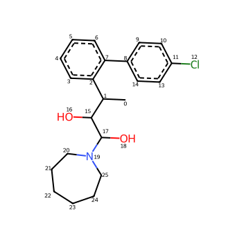 CC(c1ccccc1-c1ccc(Cl)cc1)C(O)C(O)N1CCCCCC1